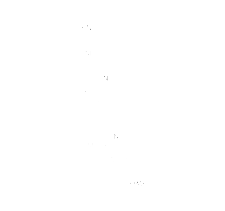 COCC1CN(c2ccc3nc(CNCC#N)sc3c2)C(=O)O1